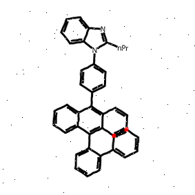 CCCc1nc2ccccc2n1-c1ccc(-c2c3ccccc3c(-c3ccccc3-c3ccccc3)c3ccccc23)cc1